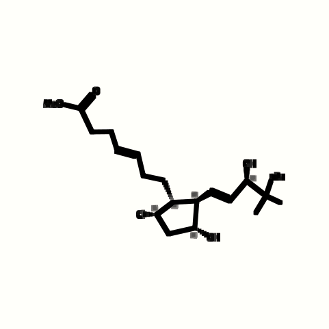 CCCCC(C)(C)[C@H](O)C=C[C@@H]1[C@@H](CCC=CCCC(=O)OC)[C@@H](Cl)C[C@H]1O